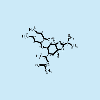 CCCCO[C@@H]1[C@H]2N=C(N(C)C)O[C@H]2C[C@H](C(C)OC(C)=O)[C@H]1OCCCC